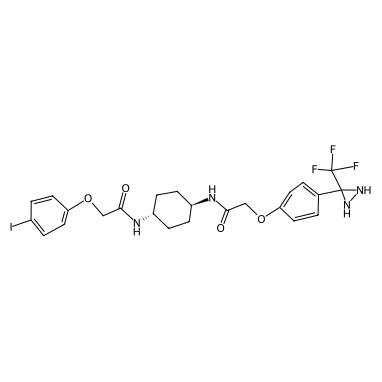 O=C(COc1ccc(I)cc1)N[C@H]1CC[C@H](NC(=O)COc2ccc(C3(C(F)(F)F)NN3)cc2)CC1